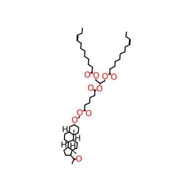 CC/C=C\CCCCCCCC(=O)OCC(COC(=O)CCCCCCC/C=C\CC)OC(=O)CCCCC(=O)OCO[C@@H]1CC[C@@]2(C)[C@@H](CC[C@@H]3[C@@H]2CC[C@]2(C)C(C(C)=O)CC[C@@H]32)C1